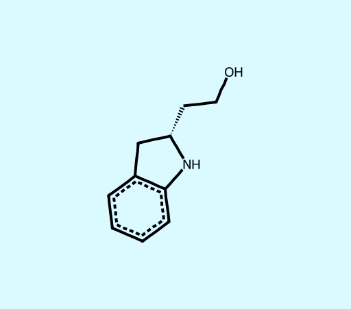 OCC[C@H]1Cc2ccccc2N1